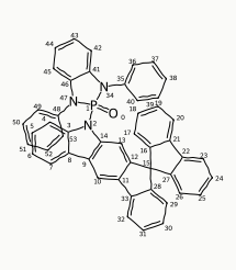 O=P1(n2c3ccccc3c3cc4c(cc32)C2(c3ccccc3-c3ccccc32)c2ccccc2-4)N(c2ccccc2)c2ccccc2N1c1ccccc1